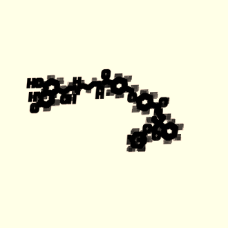 O=C(NCCCNC[C@H](O)c1ccc(O)c2[nH]c(=O)ccc12)c1ccc(COc2ccc(C(=O)N3CC(C(=O)OC4CN5CCC4CC5)(c4ccccc4)C3)cc2)cc1